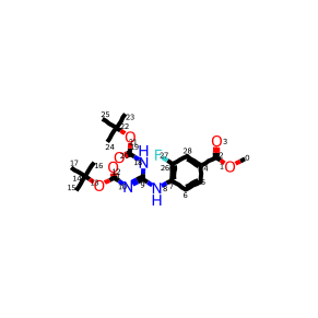 COC(=O)c1ccc(N/C(=N/C(=O)OC(C)(C)C)NC(=O)OC(C)(C)C)c(F)c1